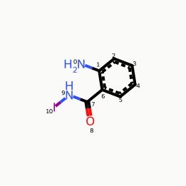 Nc1ccccc1C(=O)NI